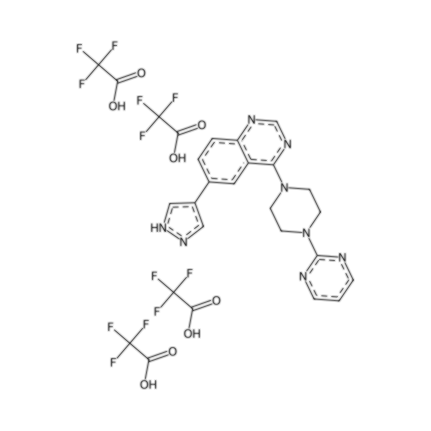 O=C(O)C(F)(F)F.O=C(O)C(F)(F)F.O=C(O)C(F)(F)F.O=C(O)C(F)(F)F.c1cnc(N2CCN(c3ncnc4ccc(-c5cn[nH]c5)cc34)CC2)nc1